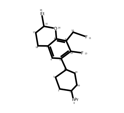 CCCC1CCC(c2cc3c(c(CF)c2F)OC(CC)CC3)CC1